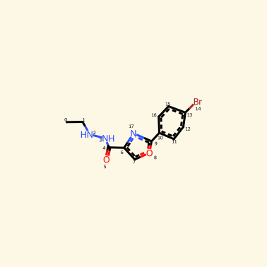 CCNNC(=O)c1coc(-c2ccc(Br)cc2)n1